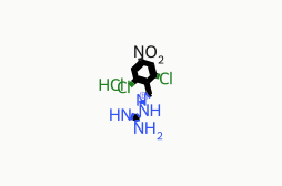 Cl.N=C(N)N/N=C/c1c(Cl)cc([N+](=O)[O-])cc1Cl